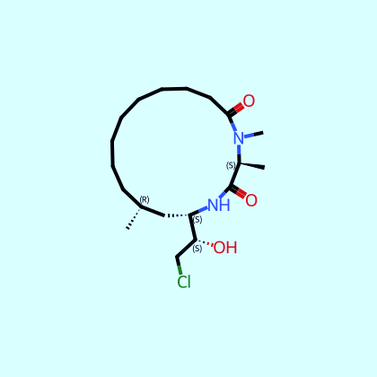 C[C@@H]1CCCCCCCCC(=O)N(C)[C@@H](C)C(=O)N[C@H]([C@H](O)CCl)C1